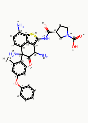 Cc1cc(Oc2ccccc2)ccc1C1(N)C(=O)C(N)c2c(NC(=O)[C@H]3CCN(C(=O)O)C3)sc3c(N)ccc1c23